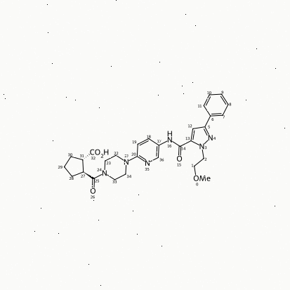 COCCn1nc(-c2ccccc2)cc1C(=O)Nc1ccc(N2CCN(C(=O)[C@H]3CCC[C@@H]3C(=O)O)CC2)nc1